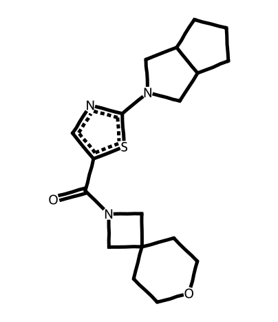 O=C(c1cnc(N2CC3CCCC3C2)s1)N1CC2(CCOCC2)C1